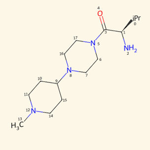 CC(C)[C@@H](N)C(=O)N1CCN(C2CCN(C)CC2)CC1